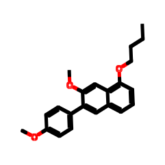 CCCCOc1cccc2cc(-c3ccc(OC)cc3)c(OC)cc12